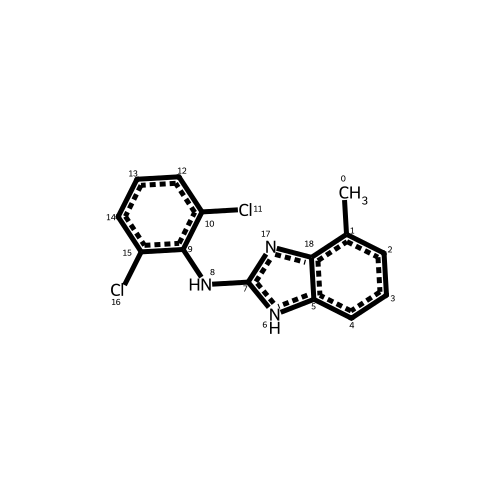 Cc1cccc2[nH]c(Nc3c(Cl)cccc3Cl)nc12